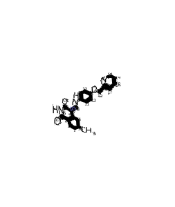 Cc1ccc2c(c1)/C(=C/Nc1ccc(OCc3ccccn3)cc1)C(=O)NC2=O